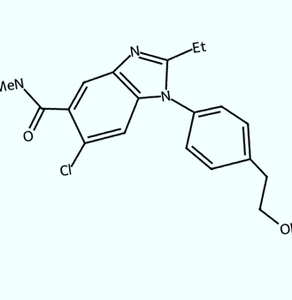 CCc1nc2cc(C(=O)NC)c(Cl)cc2n1-c1ccc(CCO)cc1